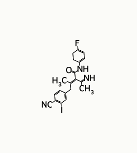 CC(=N)/C(C(=O)NC1=CC=C(F)CC1)=C(/C)Cc1ccc(C#N)c(I)c1